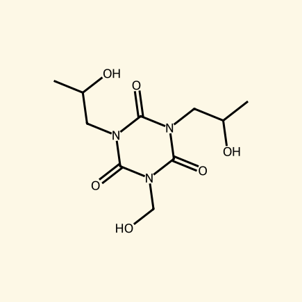 CC(O)Cn1c(=O)n(CO)c(=O)n(CC(C)O)c1=O